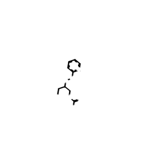 CCC(COC(=O)O)SSc1ccccn1